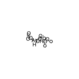 Cc1cc(OCc2ccccc2)c(OCc2ccccc2)cc1C(=O)OCC(O)C[AsH]C(C)(C)COC(=O)[C@H]1CCOC1